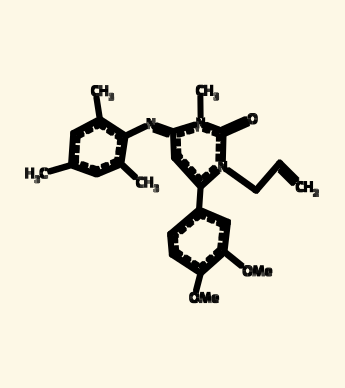 C=CCn1c(-c2ccc(OC)c(OC)c2)cc(=Nc2c(C)cc(C)cc2C)n(C)c1=O